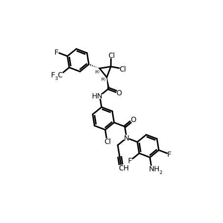 C#CCN(C(=O)c1cc(NC(=O)[C@H]2[C@H](c3ccc(F)c(C(F)(F)F)c3)C2(Cl)Cl)ccc1Cl)c1ccc(F)c(N)c1F